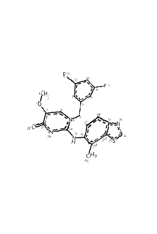 COc1cn(Cc2cc(F)cc(F)c2)c(Nc2ccc3ncsc3c2C)nc1=O